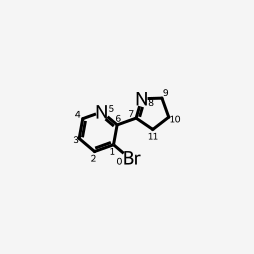 Brc1cccnc1C1=NCCC1